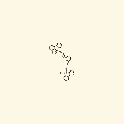 OC1(C#CCOc2cccc(OCC#CC3(O)c4ccccc4-c4ccccc43)c2)c2ccccc2-c2ccccc21